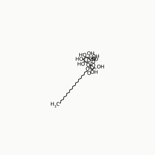 CCCCCCCCCCCCCCCCCCCC(=O)O[C@H]1[C@H](O)[C@@H](CO)O[C@@]1(COS(=O)(=O)O)O[C@H]1O[C@H](CO)[C@@H](O)[C@H](O)[C@H]1O